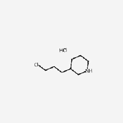 Cl.ClCCCC1CCCNC1